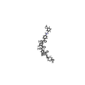 COc1cccc(/C=C/c2ccc(C(=O)Nc3cc(C(=O)Nc4cc(C(=O)NCCN5CCC(OC)CC5)n(C)c4)n(C)c3)cc2)c1